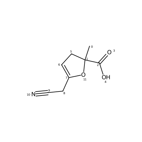 CC1(C(=O)O)CC=C(CC#N)O1